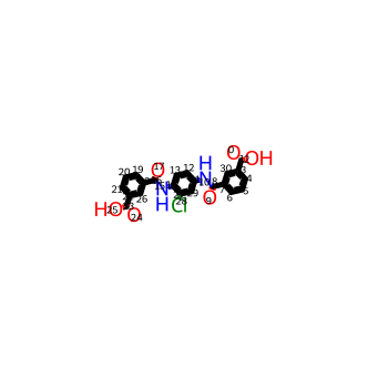 O=C(O)c1cccc(C(=O)Nc2ccc(NC(=O)c3cccc(C(=O)O)c3)c(Cl)c2)c1